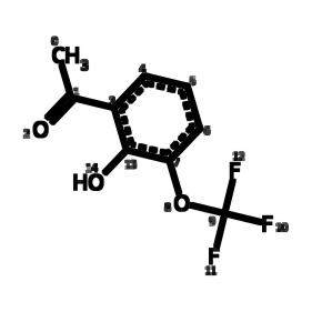 CC(=O)c1cccc(OC(F)(F)F)c1O